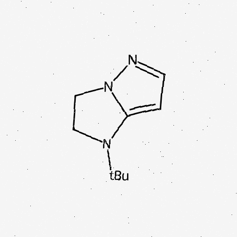 CC(C)(C)N1CCn2nccc21